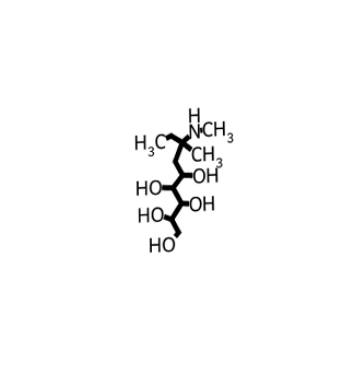 CCC(C)(CC(O)C(O)C(O)C(O)CO)NC